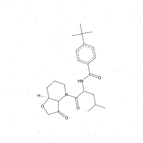 CC(C)CC(NC(=O)c1ccc(C(C)(C)C)cc1)C(=O)N1CCC[C@@H]2OCC(=O)C21